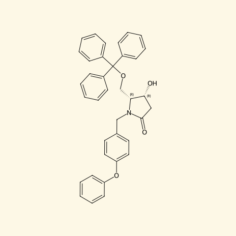 O=C1C[C@@H](O)[C@@H](COC(c2ccccc2)(c2ccccc2)c2ccccc2)N1Cc1ccc(Oc2ccccc2)cc1